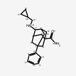 NC(=O)C12CC3CC(c4ccccc4)(CC(C1)C3NCC1CC1)C2